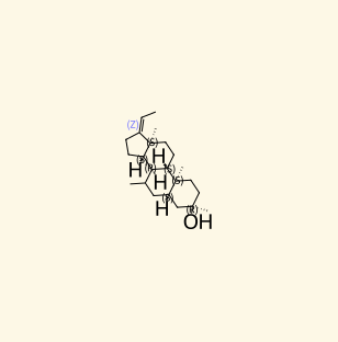 C/C=C1/CC[C@H]2[C@@H]3C(C)C[C@H]4C[C@](C)(O)CC[C@]4(C)[C@H]3CC[C@]12C